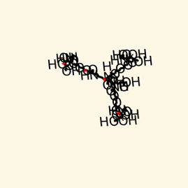 CC(=O)N[C@H]1[C@H](OCCOCCOCC(=O)NCCCC[C@H](NC(=O)COCCOCCO[C@@H]2O[C@H](CO)[C@H](O)[C@H](O)[C@H]2NC(C)=O)C(=O)N[C@](C)(CCCC(=O)O)NC(=O)COCCOCCO[C@@H]2O[C@H](CO)[C@H](O)[C@H](O)[C@H]2NC(C)=O)O[C@H](CO)[C@H](O)[C@@H]1O